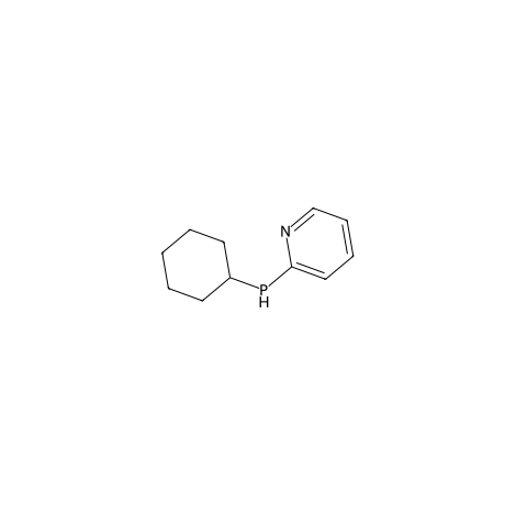 c1ccc(PC2CCCCC2)nc1